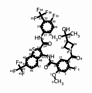 COc1cc(F)c(C(=O)N2CC(C(C)(C)O)C2)cc1C(=O)Nc1c(C(=O)Nc2ccc(F)c(C(F)(F)F)c2)sc2cc(C(F)(F)F)ccc12